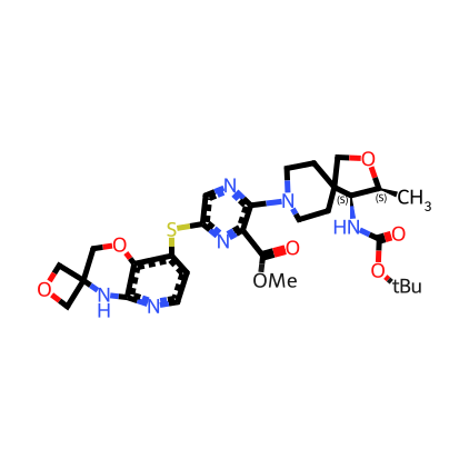 COC(=O)c1nc(Sc2ccnc3c2OCC2(COC2)N3)cnc1N1CCC2(CC1)CO[C@@H](C)[C@H]2NC(=O)OC(C)(C)C